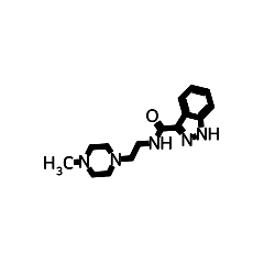 CN1CCN(CCNC(=O)c2n[nH]c3ccccc23)CC1